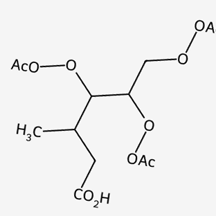 CC(=O)OOCC(OOC(C)=O)C(OOC(C)=O)C(C)CC(=O)O